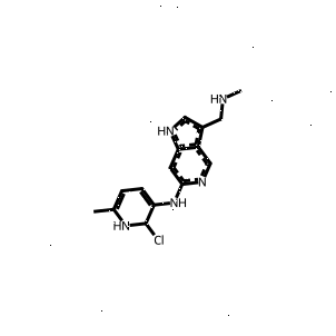 CNCc1c[nH]c2cc(NC3=CC=C(C)NC3Cl)ncc12